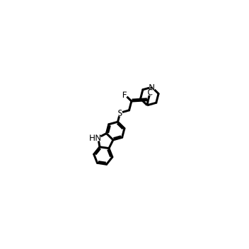 FC(CSc1ccc2c(c1)[nH]c1ccccc12)=C1CN2CCC1CC2